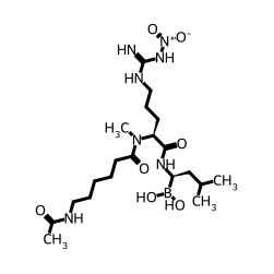 CC(=O)NCCCCCC(=O)N(C)[C@@H](CCCNC(=N)N[N+](=O)[O-])C(=O)N[C@@H](CC(C)C)B(O)O